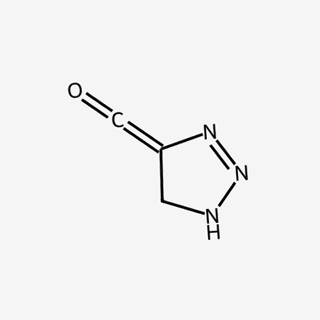 O=C=C1CNN=N1